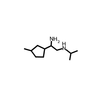 CC1CCC(C(N)CNC(C)C)C1